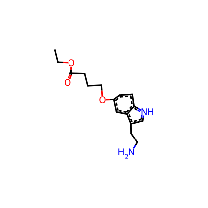 CCOC(=O)CCCOc1ccc2[nH]cc(CCN)c2c1